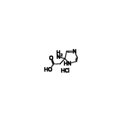 Cl.NC1(CC(=O)O)C=NC=CN1